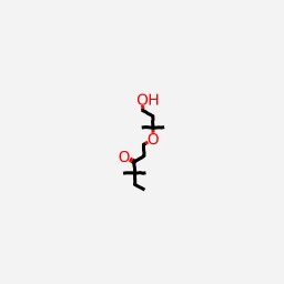 CCC(C)(C)C(=O)CCOC(C)(C)CCO